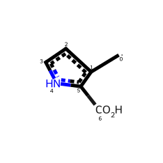 [CH2]c1cc[nH]c1C(=O)O